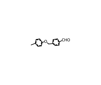 Cc1ccc(OCc2ccc(C=O)cc2)cc1